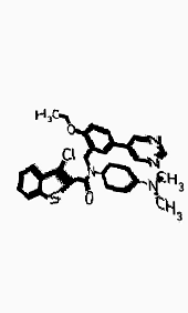 CCOc1ccc(-c2cncnc2)cc1CN(C(=O)c1sc2ccccc2c1Cl)[C@H]1CC[C@H](N(C)C)CC1